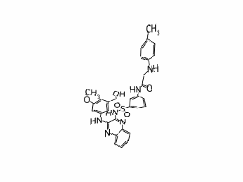 COc1cc(CO)cc(Nc2nc3ccccc3nc2NS(=O)(=O)c2cccc(NC(=O)CNc3ccc(C)cc3)c2)c1